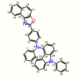 c1ccc(N(c2ccc(-c3nc4c(ccc5ccccc54)o3)cc2)c2cccc3c2c2ccccc2n3-c2ccccc2)cc1